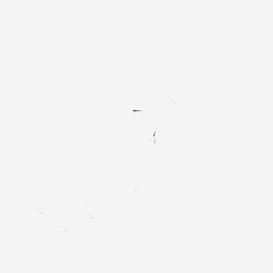 COCC(C)OC(=O)N1C[C@H](F)[C@H](NC(=O)c2cc(-c3cc(C(F)(F)F)c4c(N)ncnn34)cnc2OC)C1